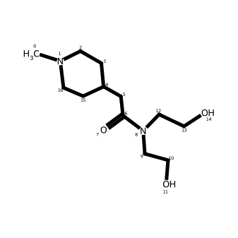 CN1CCC(CC(=O)N(CCO)CCO)CC1